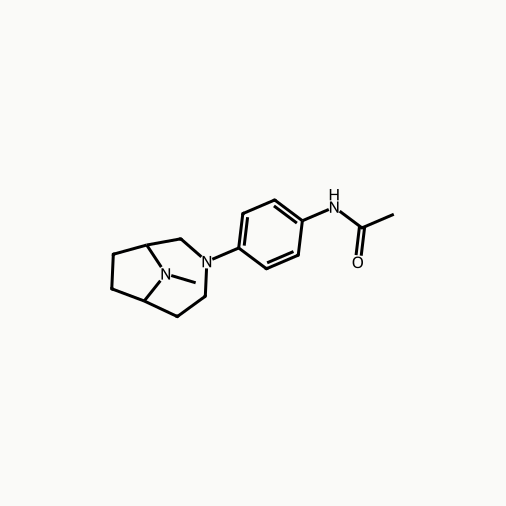 CC(=O)Nc1ccc(N2CCC3CCC(C2)N3C)cc1